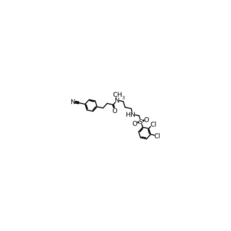 CN(CCCNCS(=O)(=O)c1cccc(Cl)c1Cl)C(=O)CCc1ccc(C#N)cc1